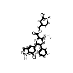 CN1CCC(COC(=O)c2nc(-c3cc(Cl)c4[nH]ncc4c3)c(-c3ccccc3)nc2N)CC1=O